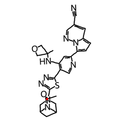 CC(=O)N1C2CC1CN(c1nnc(-c3cnc(-c4ccc5cc(C#N)cnn45)cc3NC3(C)COC3)s1)C2